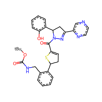 CC(C)(C)OC(=O)NCc1ccccc1C1CC=C(C(=O)N2N=C(c3cnccn3)CC2c2ccccc2O)S1